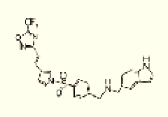 O=S(=O)(c1ccc(CNCc2ccc3[nH]ccc3c2)cc1)n1ccc(C=Cc2noc(C(F)(F)F)n2)c1